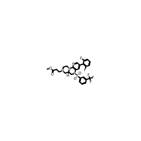 COC(=O)CCN1CCN2c3ncc(-c4c(F)cccc4F)cc3N(S(=O)(=O)c3cccc(C(F)(F)F)c3)C[C@@H]2C1